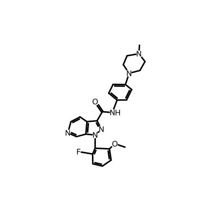 COc1cccc(F)c1-n1nc(C(=O)Nc2ccc(N3CCN(C)CC3)cc2)c2ccncc21